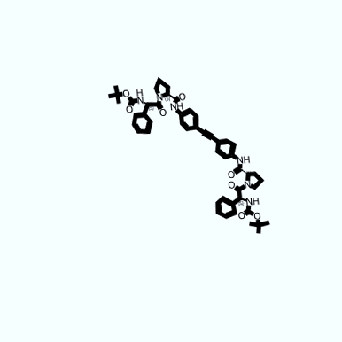 CC(C)(C)OC(=O)N[C@H](C(=O)N1CCC[C@H]1C(=O)Nc1ccc(C#Cc2ccc(NC(=O)[C@@H]3CCCN3C(=O)[C@@H](NC(=O)OC(C)(C)C)c3ccccc3)cc2)cc1)c1ccccc1